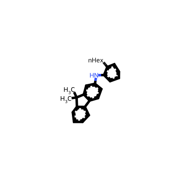 CCCCCCc1ccccc1Nc1ccc2c(c1)C(C)(C)c1ccccc1-2